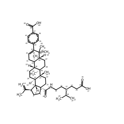 C=C(C)[C@@H]1CC[C@]2(C(=O)NCCN(CCC(=O)O)C(C)C)CC[C@]3(C)[C@H](CC[C@@H]4[C@@]5(C)CC=C(c6ccc(C(=O)O)cc6)C(C)(C)[C@@H]5CC[C@]43C)[C@@H]12